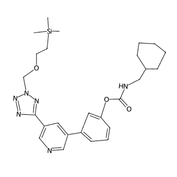 C[Si](C)(C)CCOCn1nnc(-c2cncc(-c3cccc(OC(=O)NCC4CCCCC4)c3)c2)n1